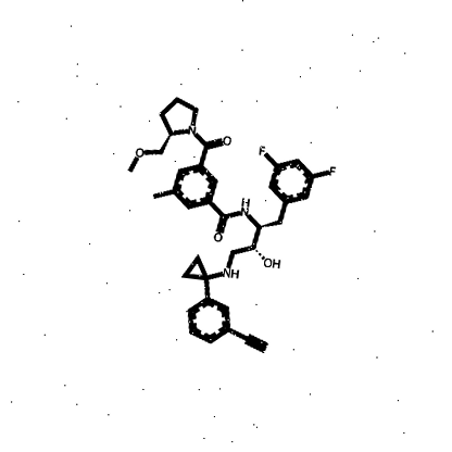 C#Cc1cccc(C2(NC[C@@H](O)[C@H](Cc3cc(F)cc(F)c3)NC(=O)c3cc(C)cc(C(=O)N4CCC[C@@H]4COC)c3)CC2)c1